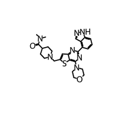 CN(C)C(=O)C1CCN(Cc2cc3nc(-c4cccc5[nH]ncc45)nc(N4CCOCC4)c3s2)CC1